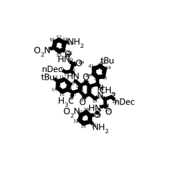 CCCCCCCCCCCC(NCC1=C(C(C)c2ccc(C(C)(C)C)cc2)C(=O)C(CNC(CCCCCCCCCCC)C(=O)NOc2cc([N+](=O)[O-])ccc2N)=C(C(C)c2ccc(C(C)(C)C)cc2)C1=O)C(=O)NOc1cc([N+](=O)[O-])ccc1N